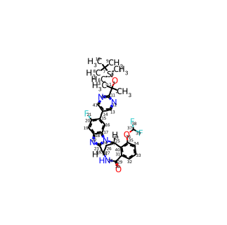 CC(C)(O[Si](C)(C)C(C)(C)C)c1ncc(-c2cc3c(cc2F)nc2n3[C@H]3C[C@H]2NC(=O)c2cccc(OC(F)F)c23)cn1